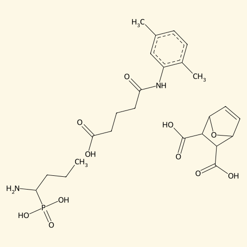 CCCC(N)P(=O)(O)O.Cc1ccc(C)c(NC(=O)CCCC(=O)O)c1.O=C(O)C1C2C=CC(O2)C1C(=O)O